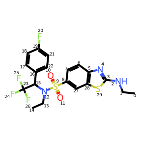 CCNc1nc2ccc(S(=O)(=O)N(CC)C(c3ccc(F)cc3)C(F)(F)F)cc2s1